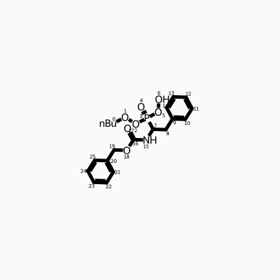 CCCCOOP(=O)(OO)C(Cc1ccccc1)NC(=O)OCc1ccccc1